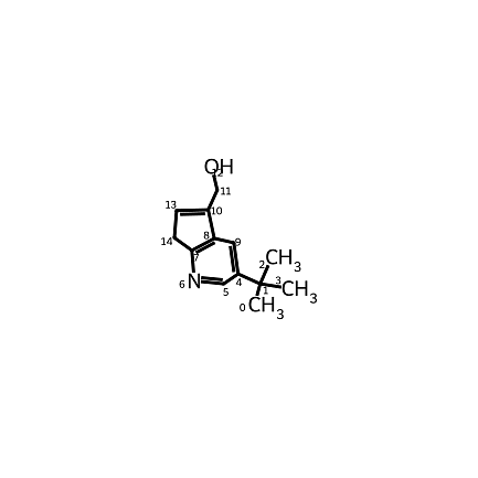 CC(C)(C)c1cnc2c(c1)C(CO)=CC2